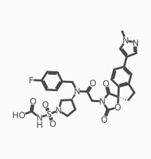 Cn1cc(-c2ccc3c(c2)CC[C@@]32OC(=O)N(CC(=O)N(Cc3ccc(F)cc3)[C@H]3CCN(S(=O)(=O)NC(=O)O)C3)C2=O)cn1